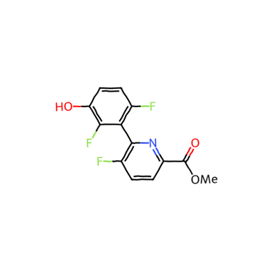 COC(=O)c1ccc(F)c(-c2c(F)ccc(O)c2F)n1